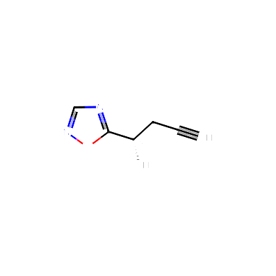 C#CC[C@H](C)c1ncno1